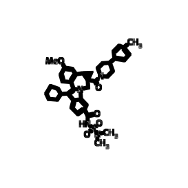 COc1ccc2c(c1)C1CC1(C(=O)N1CCC(c3ccc(C)cc3)CC1)Cn1c-2c(C2CCCCC2)c2ccc(C(=O)NS(=O)(=O)N(C)C)cc21